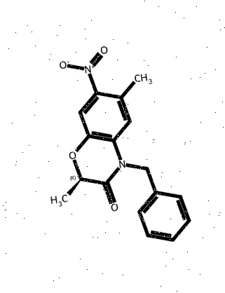 Cc1cc2c(cc1[N+](=O)[O-])O[C@H](C)C(=O)N2Cc1ccccc1